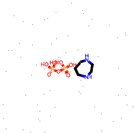 C1CNCCNC1.O=P(O)(O)OP(=O)(O)O